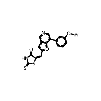 CC(C)Oc1cccc(-c2cncc3cc(C=C4SC(=S)NC4=O)oc23)c1